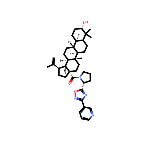 C=C(C)[C@@H]1CC[C@]2(C(=O)N3CCC[C@@H]3c3nc(-c4cccnc4)no3)CC[C@]3(C)[C@H](CC[C@@H]4[C@@]5(C)CC[C@H](O)C(C)(C)C5CC[C@]43C)[C@@H]12